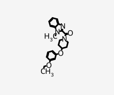 CCOc1cccc(OC2CCN(C(=O)c3nc4ccccc4n3C)CC2)c1